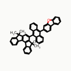 CC1(C)c2ccccc2-c2c1cc(-c1c3ccccc3c(-c3ccc4c(c3)oc3ccccc34)c3ccccc13)c1c2-c2ccccc2C1(C)C